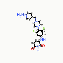 NN1CCC(CN2CCN(c3c(F)cc(NC4CCC(=O)NC4=O)cc3F)CC2)CC1